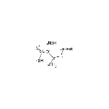 CCCCCCC(C)OC(=S)S.[NaH]